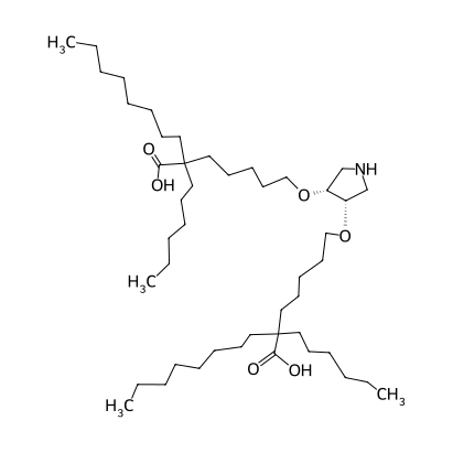 CCCCCCCCC(CCCCCC)(CCCCCO[C@H]1CNC[C@H]1OCCCCCC(CCCCCC)(CCCCCCCC)C(=O)O)C(=O)O